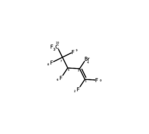 FC(F)=C(Br)C(F)C(F)(F)C(F)(F)F